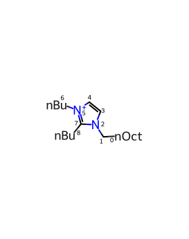 CCCCCCCCCn1cc[n+](CCCC)c1CCCC